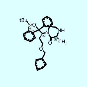 C[C@@H]1NCCN([C@@H](CCOCc2ccccc2)C(O[SiH2]C(C)(C)C)(c2ccccc2)c2ccccc2)C1=O